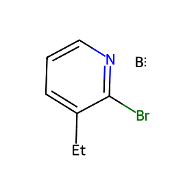 CCc1cccnc1Br.[B]